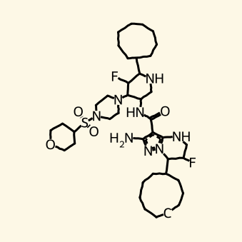 Nc1nn2c(c1C(=O)NC1CNC(C3CCCCCCCC3)C(F)C1N1CCN(S(=O)(=O)C3CCOCC3)CC1)NCC(F)C2C1CCCCCCCCC1